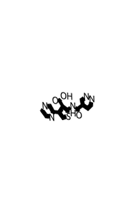 O=C(Nc1scc(-c2cnccn2)c1C(=O)O)c1ccnnc1